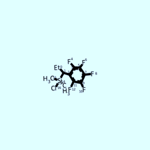 CCC(c1c(F)c(F)c(F)c(F)c1F)[Si](C)(C)Cl